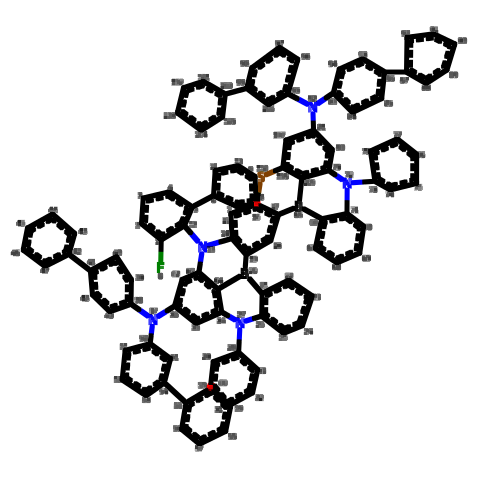 Fc1cccc(-c2ccccc2)c1N1c2cc3c(cc2B2c4ccccc4N(c4ccccc4)c4cc(N(c5ccc(-c6ccccc6)cc5)c5cccc(-c6ccccc6)c5)cc1c42)B1c2ccccc2N(c2ccccc2)c2cc(N(c4ccc(-c5ccccc5)cc4)c4cccc(-c5ccccc5)c4)cc(c21)S3